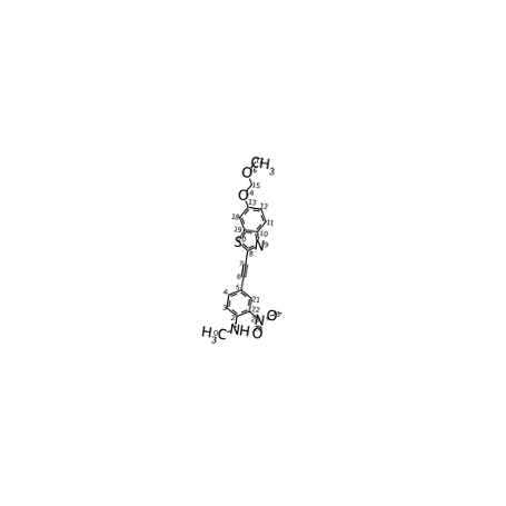 CNc1ccc(C#Cc2nc3ccc(OCOC)cc3s2)cc1[N+](=O)[O-]